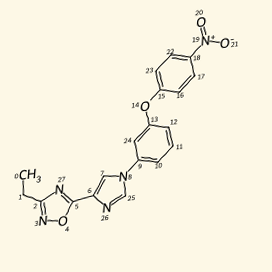 CCc1noc(-c2cn(-c3cccc(Oc4ccc([N+](=O)[O-])cc4)c3)cn2)n1